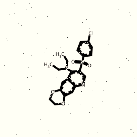 CCN(CC)c1c(S(=O)(=O)c2ccc(Cl)cc2)cnc2cc3c(cc12)OCCO3